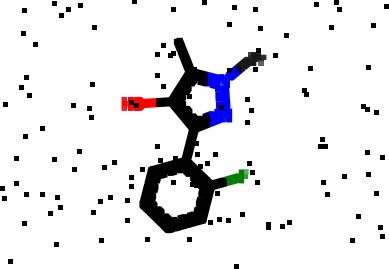 Cc1c(O)c(-c2ccccc2F)nn1C(C)C